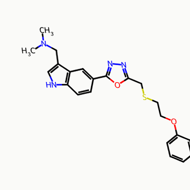 CN(C)Cc1c[nH]c2ccc(-c3nnc(CSCCOc4ccccc4)o3)cc12